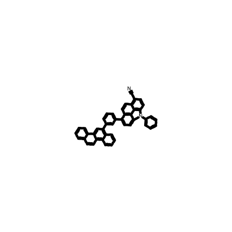 N#Cc1ccc2c3c1ccc1c(-c4cccc(-c5cc6c7ccccc7ccc6c6ccccc56)c4)ccc(c13)n2-c1ccccc1